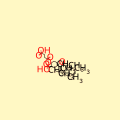 C[C@@H]1CC[C@]2(C)CC[C@]3(C)C(=CC(=O)C4[C@@]5(C)CC[C@@H](OC(=O)CCC(=O)O)[C@](C)(C(=O)O)C5CC[C@]43C)C2[C@H]1C